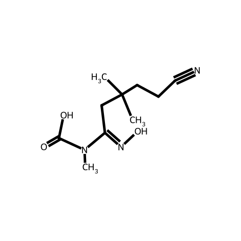 CN(C(=O)O)C(CC(C)(C)CCC#N)=NO